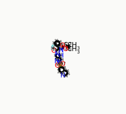 CC(C)(C)OC(=O)N[C@@H](C(=O)N1Cc2cn(S(=O)(=O)c3ccc4ncccc4c3)nc2C1)c1ccccc1F